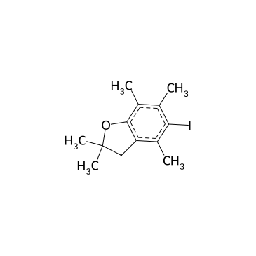 Cc1c(C)c2c(c(C)c1I)CC(C)(C)O2